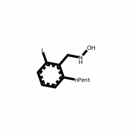 CCCCCc1cccc(I)c1CNO